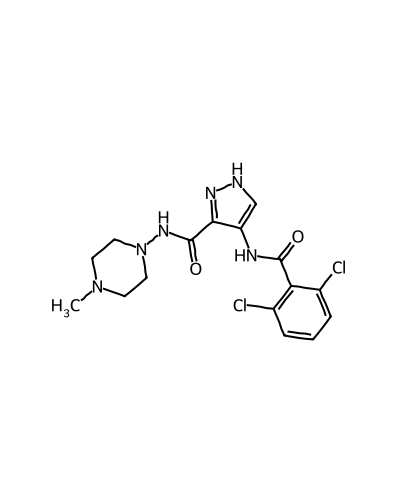 CN1CCN(NC(=O)c2n[nH]cc2NC(=O)c2c(Cl)cccc2Cl)CC1